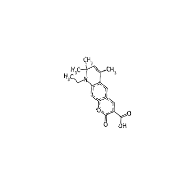 CCN1c2cc3oc(=O)c(C(=O)O)cc3cc2C(C)=CC1(C)C